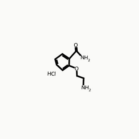 Cl.NCCOc1ccccc1C(N)=O